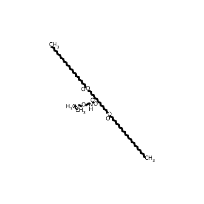 CCCCCCCCCCCCCCCCCCCCCCCC(=O)OCCCCCCC(CCCCCCOC(=O)CCCCCCCCCCCCCCCCCCCCCCC)OC(=O)NCCOCCN(C)C